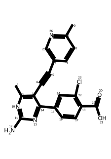 Cc1ccc(C#Cc2c(C)nc(N)nc2-c2ccc(C(=O)O)c(Cl)c2)cn1